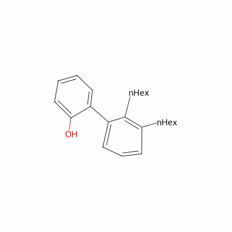 CCCCCCc1cccc(-c2ccccc2O)c1CCCCCC